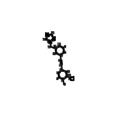 Cc1ccc(C#Cc2cccc(Cn3cncn3)c2)cc1Cl